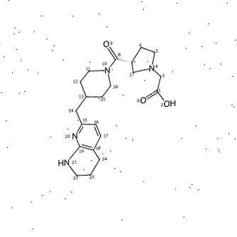 O=C(O)CN1CC[C@@H](C(=O)N2CCC(Cc3ccc4c(n3)NCCC4)CC2)C1